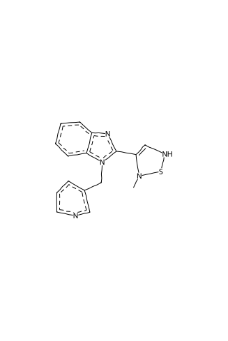 CN1SNC=C1c1nc2ccccc2n1Cc1cccnc1